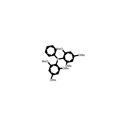 COc1cc(OC)c(P(c2ccccc2)c2c(OC)cc(OC)cc2OC)c(OC)c1